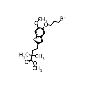 COC(=O)C(C)(C)CCc1cc2cc(OCCCBr)c(OC)cc2s1